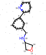 c1ccc(-c2cccc(CNC3COC3)c2)nc1